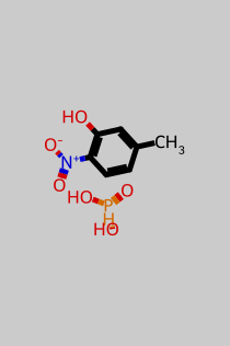 Cc1ccc([N+](=O)[O-])c(O)c1.O=[PH](O)O